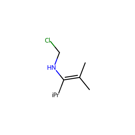 CC(C)=C(NCCl)C(C)C